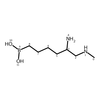 CNCC(N)CCCCB(O)O